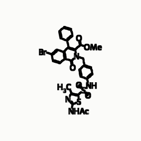 COC(=O)c1c(-c2ccccc2)c2cc(Br)ccc2c(=O)n1Cc1ccc(NS(=O)(=O)c2sc(NC(C)=O)nc2C)cc1